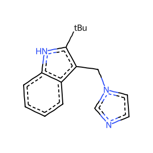 CC(C)(C)c1[nH]c2ccccc2c1Cn1ccnc1